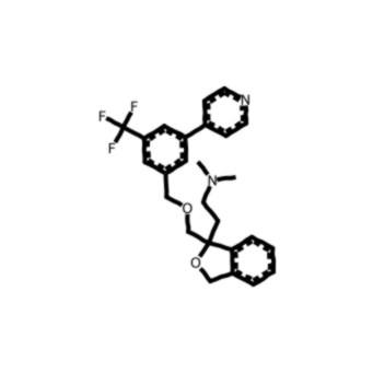 CN(C)CCC1(COCc2cc(-c3ccncc3)cc(C(F)(F)F)c2)OCc2ccccc21